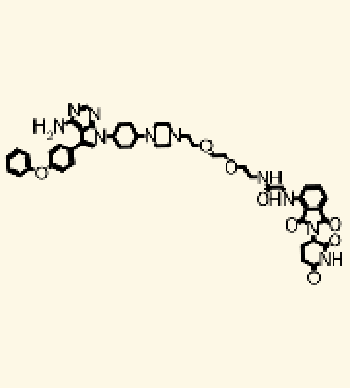 Nc1ncnc2c1c(-c1ccc(Oc3ccccc3)cc1)cn2C1CCC(N2CCN(CCOCCOCCNC(=O)CNc3cccc4c3C(=O)N(C3CCC(=O)NC3=O)C4=O)CC2)CC1